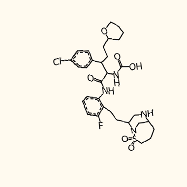 O=C(O)NC(C(=O)Nc1cccc(F)c1CCC1CNC2CCCS(=O)(=O)N1C2)C(CCC1CCCCO1)c1ccc(Cl)cc1